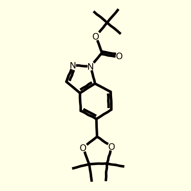 CC(C)(C)OC(=O)n1ncc2cc(C3OC(C)(C)C(C)(C)O3)ccc21